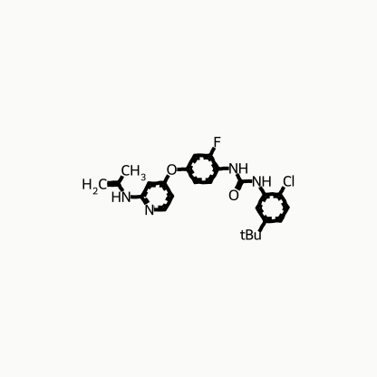 C=C(C)Nc1cc(Oc2ccc(NC(=O)Nc3cc(C(C)(C)C)ccc3Cl)c(F)c2)ccn1